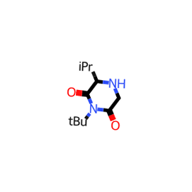 CC(C)C1NCC(=O)N(C(C)(C)C)C1=O